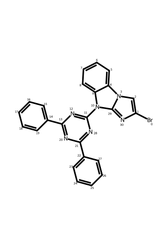 Brc1cn2c3ccccc3n(-c3nc(-c4ccccc4)nc(-c4ccccc4)n3)c2n1